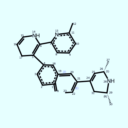 C=c1ccc(C2=C(c3cccc(C)n3)NC=CC2)c/c1=C/C(=C\C)C1=C[C@H](C)N[C@H](C)C1